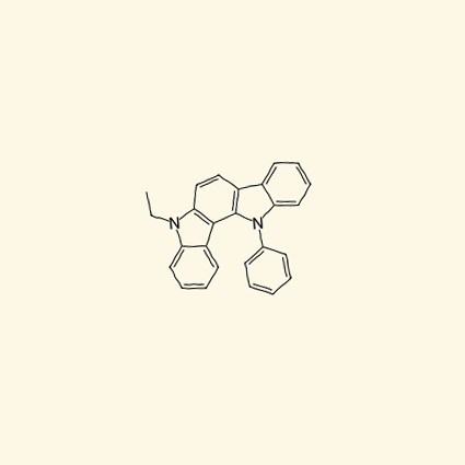 CCn1c2ccccc2c2c1ccc1c3ccccc3n(-c3ccccc3)c12